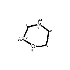 C1COPCN1